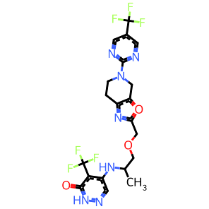 CC(COCc1nc2c(o1)CN(c1ncc(C(F)(F)F)cn1)CC2)Nc1cn[nH]c(=O)c1C(F)(F)F